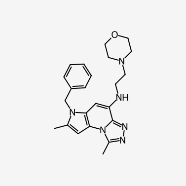 Cc1cc2c(cc(NCCN3CCOCC3)c3nnc(C)n32)n1Cc1ccccc1